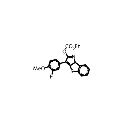 CCOC(=O)OC1=NC2C(=C1c1ccc(OC)c(F)c1)Sc1ccccc12